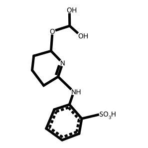 O=S(=O)(O)c1ccccc1NC1=NC(OC(O)O)CCC1